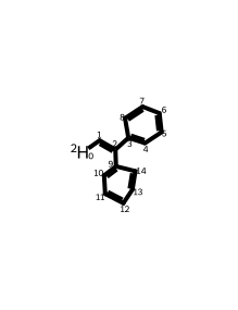 [2H]C=C(c1ccccc1)c1ccccc1